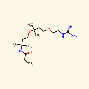 CCC(=O)NC(C)(C)CCOC(C)(C)CCOCCNC(=N)N